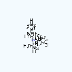 NC1=C(/C=C(\N)C2NN=C(C3CCNCC3)N2)N(Cc2cc(Cl)ccc2Cl)CCN1